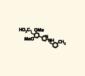 COc1cc(-c2ccc(NCc3cccc(C)c3)nc2)cc(OC)c1CCC(=O)O